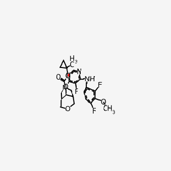 COc1c(F)ccc(Nc2ncnc(OC3C4COCC3CN(C(=O)OC3(C)CC3)C4)c2F)c1F